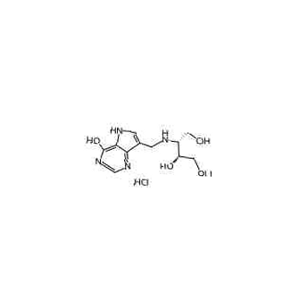 Cl.OC[C@@H](O)[C@@H](CO)NCc1c[nH]c2c(O)ncnc12